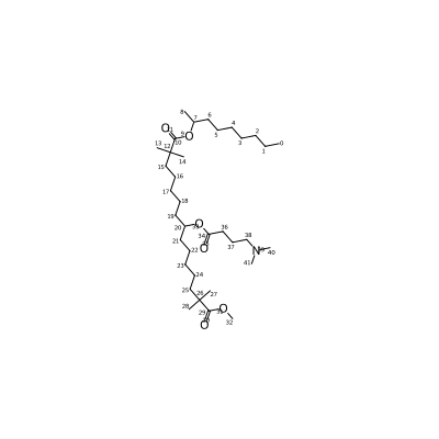 CCCCCCCC(C)OC(=O)C(C)(C)CCCCCC(CCCCCC(C)(C)C(=O)OC)OC(=O)CCCN(C)C